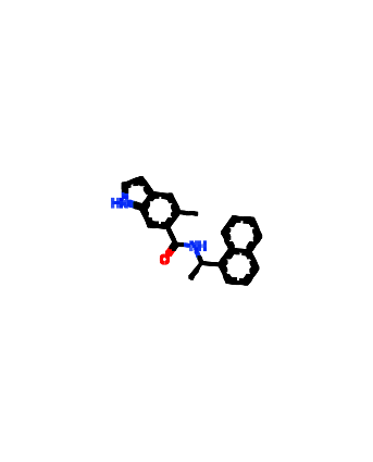 Cc1cc2cc[nH]c2cc1C(=O)N[C@H](C)c1cccc2ccccc12